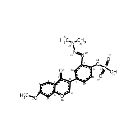 COc1ccc2c(=O)c(-c3ccc(OS(=O)(=O)O)c(N=NN(C)C)c3)coc2c1